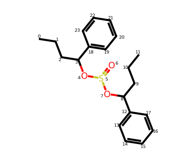 CCCC(OS(=O)OC(CCC)c1ccccc1)c1ccccc1